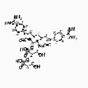 N=C(N)c1ccc(OCCCCCOc2ccc(C(=N)N)cc2)cc1.O=C=NCCN=C=O.O=S(=O)(O)CCO.O=S(=O)(O)CCO